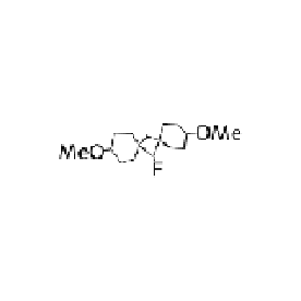 COC1CC[C@]2(CC1)C[C@@]1(CCC(OC)CC1)C2F